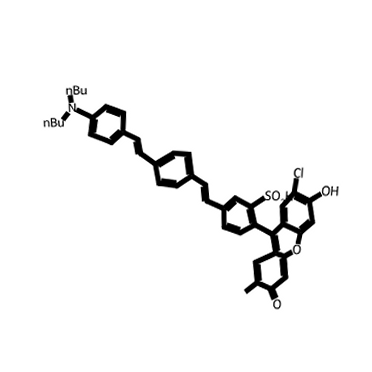 CCCCN(CCCC)c1ccc(/C=C/c2ccc(/C=C/c3ccc(-c4c5cc(C)c(=O)cc-5oc5cc(O)c(Cl)cc45)c(S(=O)(=O)O)c3)cc2)cc1